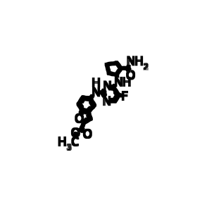 COC(=O)c1cc2cc(Nc3ncc(F)c(NC4CCCC4C(N)=O)n3)ccc2o1